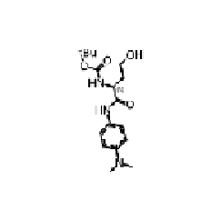 CN(C)c1ccc(NC(=O)[C@H](CCO)NC(=O)OC(C)(C)C)cc1